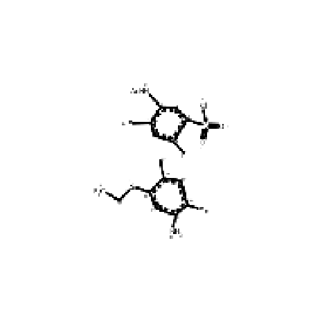 CC(=O)Nc1cc(S(=O)(=O)Cl)c(C)cc1F.Cc1cc(F)c(N)cc1SCC(F)(F)F